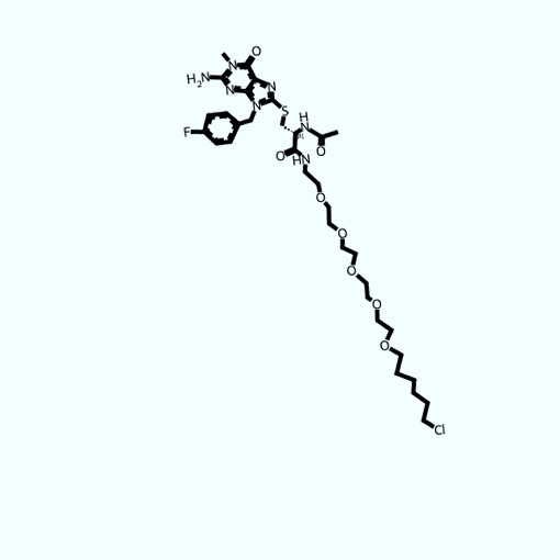 CC(=O)N[C@@H](CSc1nc2c(=O)n(C)c(N)nc2n1Cc1ccc(F)cc1)C(=O)NCCOCCOCCOCCOCCOCCCCCCCl